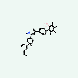 Bc1c(C)c(C)c(C)c(C)c1-c1ccc(C(=C)/C=C(\N=C)C2=CCC(C)(/C(C=C)=C/C=C\C)C=C2)cc1